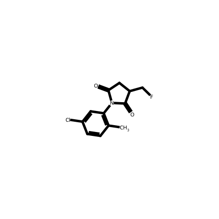 Cc1ccc(Cl)cc1N1C(=O)CC(CF)C1=O